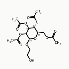 CC(=O)OC[C@H]1O[C@@H](OCCO)C(OC(C)=O)[C@@H](OC(C)=O)[C@@H]1OC(C)=O